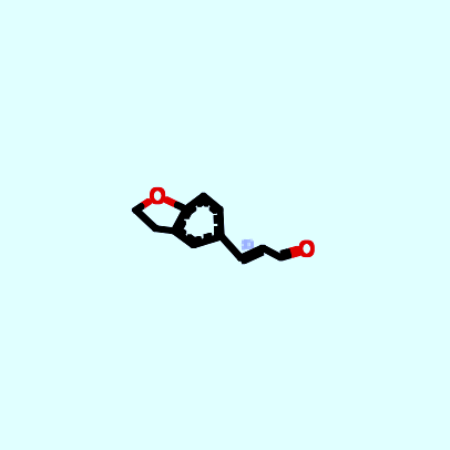 O=C/C=C/c1ccc2c(c1)CCO2